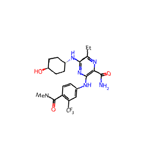 CCc1nc(C(N)=O)c(Nc2ccc(C(=O)NC)c(C(F)(F)F)c2)nc1N[C@H]1CC[C@H](O)CC1